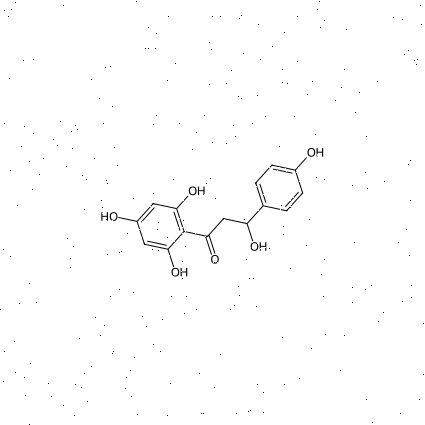 O=C(CC(O)c1ccc(O)cc1)c1c(O)cc(O)cc1O